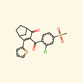 CS(=O)(=O)c1ccc(C(=O)C2=C(c3cccs3)C3CCC(C3)C2=O)c(Cl)c1